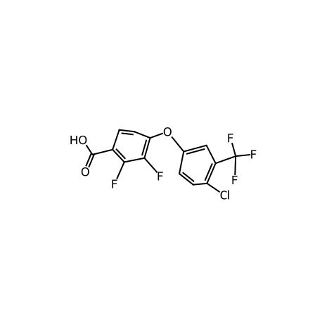 O=C(O)c1ccc(Oc2ccc(Cl)c(C(F)(F)F)c2)c(F)c1F